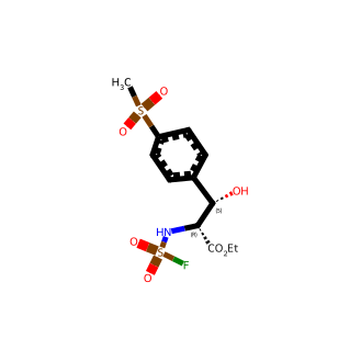 CCOC(=O)[C@H](NS(=O)(=O)F)[C@@H](O)c1ccc(S(C)(=O)=O)cc1